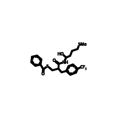 CSCCCC(O)NC(=O)C(CSC(=O)c1ccccc1)Cc1ccc(C(F)(F)F)cc1